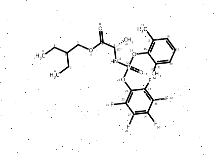 CCC(CC)COC(=O)[C@H](C)NP(=O)(Oc1c(C)cccc1C)Oc1c(F)c(F)c(F)c(F)c1F